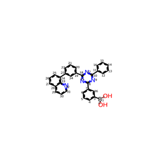 OB(O)c1cccc(-c2nc(-c3ccccc3)nc(-c3cccc(-c4cccc5cccnc45)c3)n2)c1